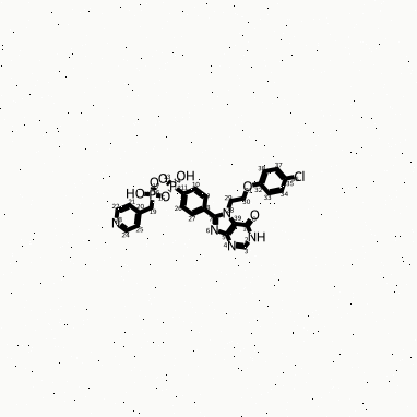 O=c1[nH]cnc2nc(-c3ccc(P(=O)(O)OP(=O)(O)Cc4ccncc4)cc3)n(CCOc3ccc(Cl)cc3)c12